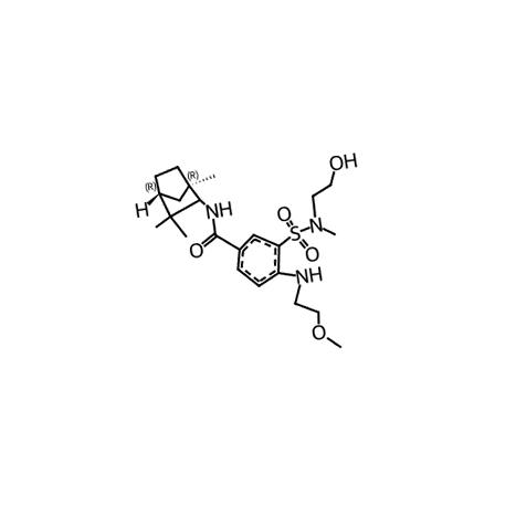 COCCNc1ccc(C(=O)NC2C(C)(C)[C@@H]3CC[C@]2(C)C3)cc1S(=O)(=O)N(C)CCO